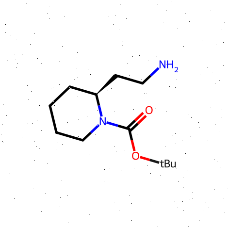 CC(C)(C)OC(=O)N1CCCC[C@H]1CCN